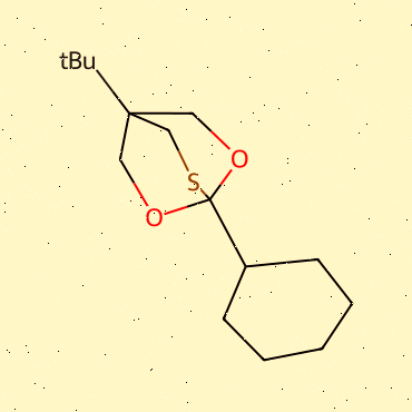 CC(C)(C)C12COC(C3CCCCC3)(OC1)SC2